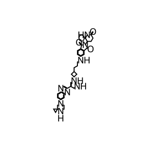 N=C/C(=C\NC1CC(CCCNc2ccc3c(c2)C(=O)N(C2CCC(=O)NC2=O)C3=O)C1)c1cnc2ccc(N3CCNC4(CC4)C3)cc2n1